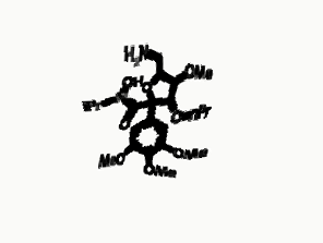 CCCOC1C(OC)C(CN)OC1(C(=O)N(O)C(C)C)c1cc(OC)c(OC)c(OC)c1